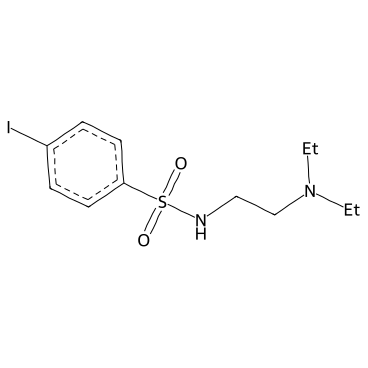 CCN(CC)CCNS(=O)(=O)c1ccc(I)cc1